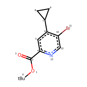 CC(C)(C)OC(=O)c1cc(C2CC2)c(Br)cn1